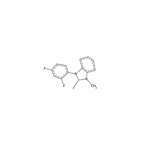 CN1c2ccccc2N(c2ccc(F)cc2F)C1I